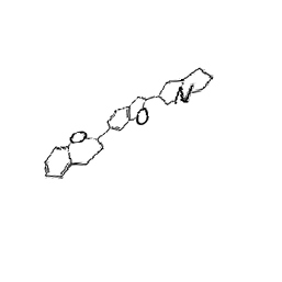 c1ccc2c(c1)CCC(c1ccc3c(c1)OC(C1CC4CCCN4C1)C3)O2